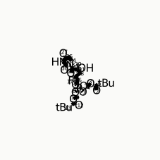 CC(C)(C)C(=O)OCOP(=O)(OCOC(=O)C(C)(C)C)OC[C@]1(F)C[C@@](C)(O)[C@H](n2ccc(=O)[nH]c2=O)O1